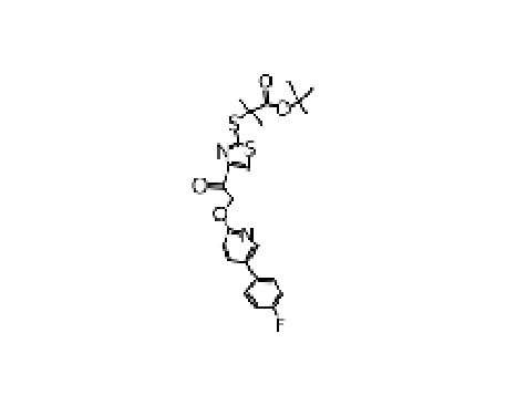 CC(C)(C)OC(=O)C(C)(C)Sc1nc(C(=O)COc2ccc(-c3ccc(F)cc3)cn2)cs1